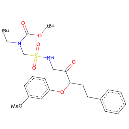 CCC(C)CN(CS(=O)(=O)NCC(=O)C(CCc1ccccc1)Oc1cccc(OC)c1)C(=O)OC(C)(C)C